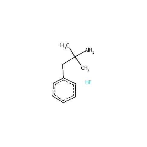 C[C](C)([AlH2])Cc1ccccc1.F